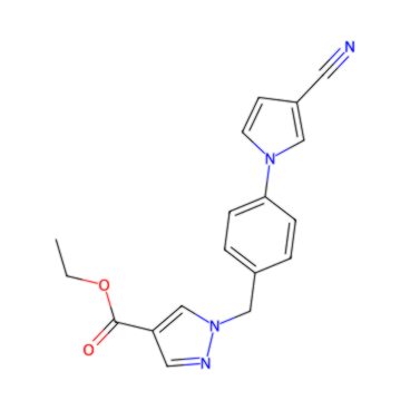 CCOC(=O)c1cnn(Cc2ccc(-n3ccc(C#N)c3)cc2)c1